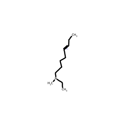 CC/C=C/CCCCN(C)CC